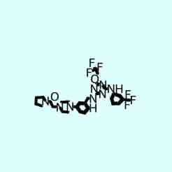 O=C(CN1CCN(c2cccc(CNc3nc(Nc4cccc(C(F)(F)F)c4)nc(OCC(F)(F)F)n3)c2)CC1)N1CCCC1